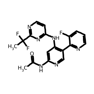 CC(=O)Nc1cc(Nc2ccnc(C(C)(F)F)n2)c(-c2ncccc2F)cn1